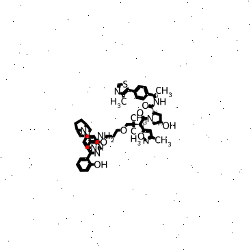 Cc1cc([C@H](C(=O)N2C[C@H](O)C[C@H]2C(=O)N[C@@H](C)c2ccc(-c3scnc3C)cc2)C(C)(C)COCCCOc2cc(N3C4CCC3CN(c3cc(-c5ccccc5O)nnc3N)C4)ccn2)on1